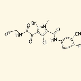 C#CCNC(=O)C(=O)c1c(Cl)c(C(=O)Nc2ccc(F)c(C#N)c2)n(C)c1Br